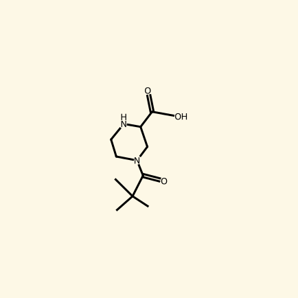 CC(C)(C)C(=O)N1CCNC(C(=O)O)C1